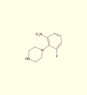 O=[N+]([O-])c1cccc(F)c1N1CCNCC1